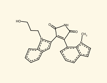 Cn1ccc2cccc(C3=C(c4cc5ccccc5n4CCCO)C(=O)NC3=O)c21